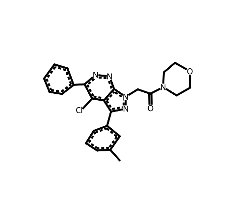 Cc1cccc(-c2nn(CC(=O)N3CCOCC3)c3nnc(-c4ccccc4)c(Cl)c23)c1